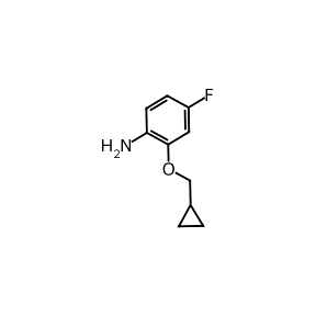 Nc1ccc(F)cc1OCC1CC1